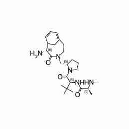 CN[C@@H](C)C(=O)N[C@H](C(=O)N1CCC[C@H]1CN1CCC2=CC=CC(C2)[C@@H](N)C1=O)C(C)(C)C